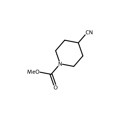 COC(=O)N1CCC(C#N)CC1